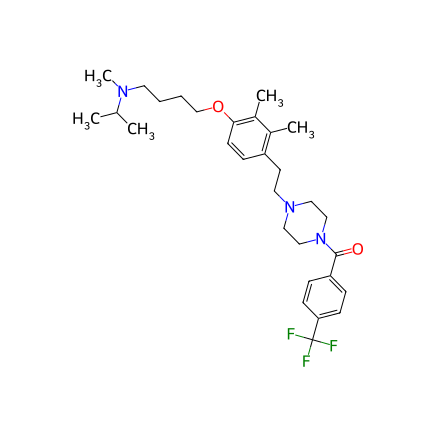 Cc1c(CCN2CCN(C(=O)c3ccc(C(F)(F)F)cc3)CC2)ccc(OCCCCN(C)C(C)C)c1C